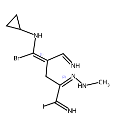 CN/N=C(/C/C(C=N)=C(\Br)NC1CC1)C(=N)I